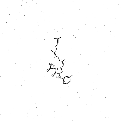 CC(C)=CCCC(C)=CCCC(C)=CSCC(Nc1cc(C)ccn1)C(=O)NC(N)=O